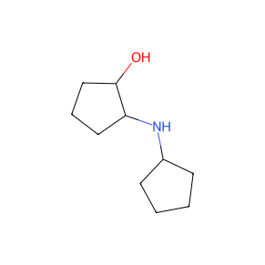 OC1CCCC1NC1CCCC1